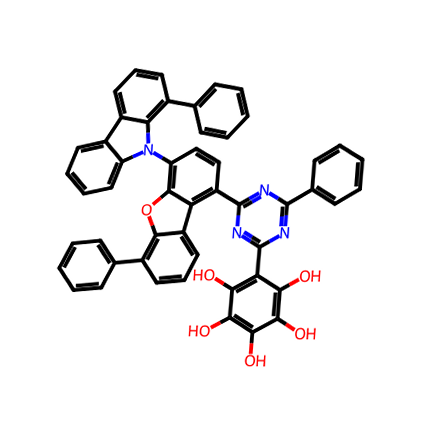 Oc1c(O)c(O)c(-c2nc(-c3ccccc3)nc(-c3ccc(-n4c5ccccc5c5cccc(-c6ccccc6)c54)c4oc5c(-c6ccccc6)cccc5c34)n2)c(O)c1O